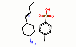 CC/C=C/[C@H]1CC[C@H](N)CC1.Cc1ccc(S(=O)(=O)O)cc1